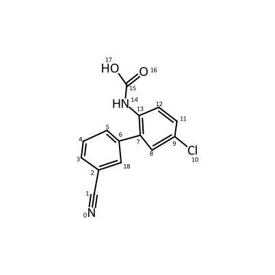 N#Cc1cccc(-c2cc(Cl)ccc2NC(=O)O)c1